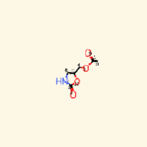 CC(=O)OCC1CNC(=O)O1